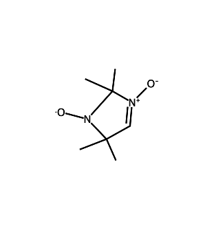 CC1(C)C=[N+]([O-])C(C)(C)N1[O]